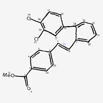 COC(=O)c1ccc(/C=C/c2ccccc2-c2ccc(Cl)c(Cl)c2)cc1